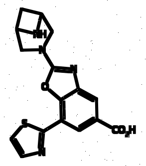 O=C(O)c1cc(-c2nccs2)c2oc(N3CC4CC(C3)N4)nc2c1